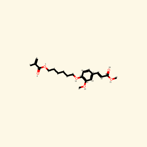 C=C(C)C(=O)OCCCCCCOc1ccc(/C=C/C(=O)OC)cc1OC